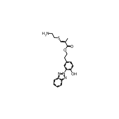 CC(=CSCCN)C(=O)OCCc1ccc(O)c(-n2nc3ccccc3n2)c1